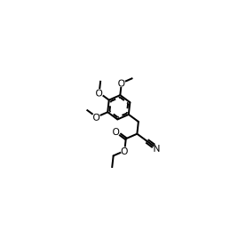 CCOC(=O)C(C#N)Cc1cc(OC)c(OC)c(OC)c1